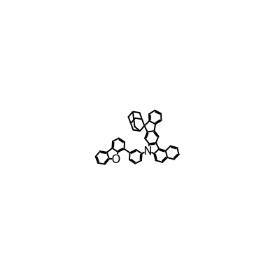 c1cc(-c2cccc3c2oc2ccccc23)cc(-n2c3cc4c(cc3c3c5ccccc5ccc32)-c2ccccc2C42C3CC4CC(C3)CC2C4)c1